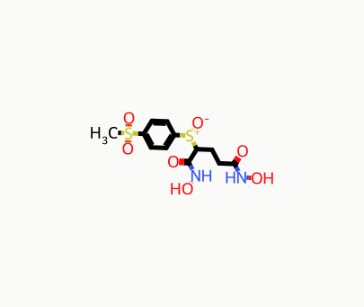 CS(=O)(=O)c1ccc([S+]([O-])C(CCC(=O)NO)C(=O)NO)cc1